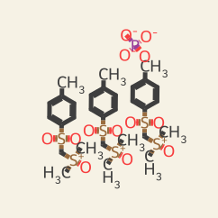 Cc1ccc(S(=O)(=O)C[S+](C)(C)=O)cc1.Cc1ccc(S(=O)(=O)C[S+](C)(C)=O)cc1.Cc1ccc(S(=O)(=O)C[S+](C)(C)=O)cc1.O=P([O-])([O-])[O-]